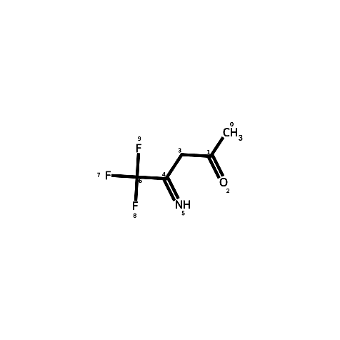 CC(=O)CC(=N)C(F)(F)F